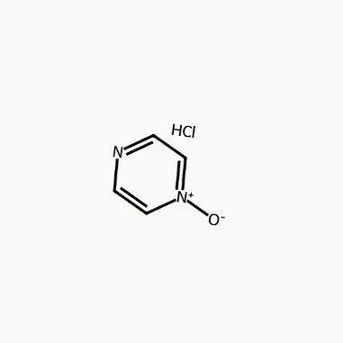 Cl.[O-][n+]1ccncc1